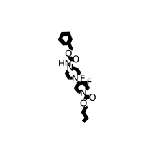 CCCCOC(=O)N1CCC(N2CCN(NC(=O)OCc3ccccc3)CC2)C(F)(F)C1